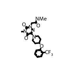 CNC(=O)Cn1nc(N2CCC(Oc3ccccc3C(F)(F)F)CC2)c(=O)n(C)c1=O